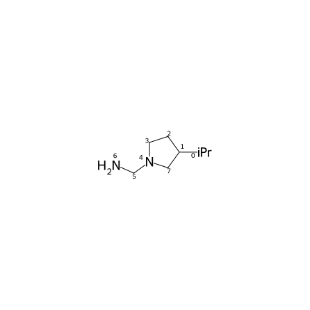 CC(C)C1CCN(CN)C1